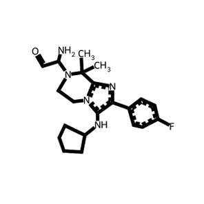 CC1(C)c2nc(-c3ccc(F)cc3)c(NC3CCCC3)n2CCN1C(N)C=O